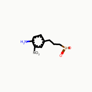 Nc1ccc(CCC[SH](=O)=O)cc1[N+](=O)[O-]